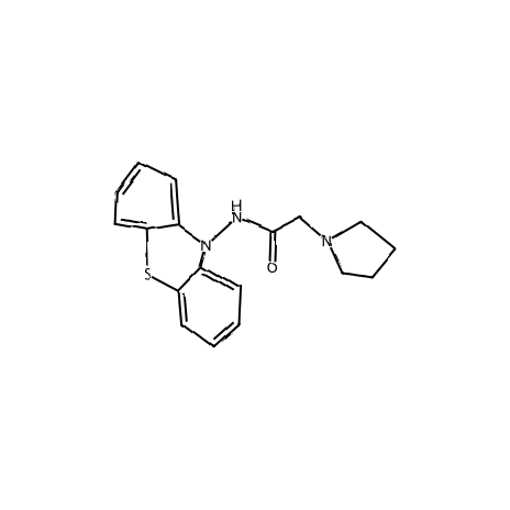 O=C(CN1CCCC1)NN1c2ccccc2Sc2ccccc21